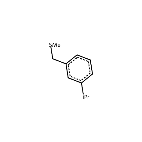 CSCc1cccc(C(C)C)c1